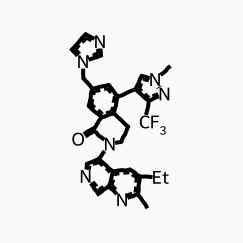 CCc1cc2c(N3CCc4c(cc(Cn5ccnc5)cc4-c4cn(C)nc4C(F)(F)F)C3=O)cncc2nc1C